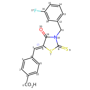 O=C(O)c1ccc(/C=C2\SC(=S)N(Cc3cccc(F)c3)C2=O)cc1